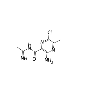 CC(=N)NC(=O)c1nc(Cl)c(C)nc1N